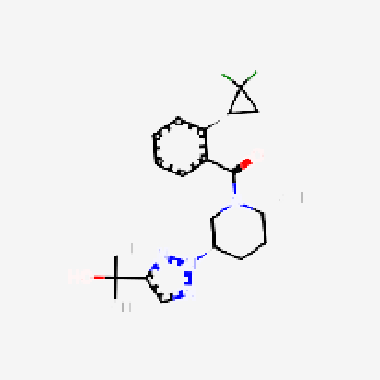 C[C@@H]1CC[C@@H](n2ncc(C(C)(C)O)n2)CN1C(=O)c1ccccc1[C@@H]1CC1(F)F